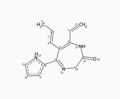 C=CC1=C(/C=C/C)C(c2ccc[nH]2)=NCC(=O)N1